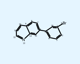 Brc1cccc(-c2ccc3[c]ccnc3c2)c1